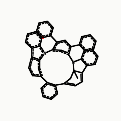 CC12CC3=CC=C1c1ccccc1N2c1cc(c(-c2ccccc2)cc1-c1ccccc1)-n1c2ccccc2c2ccc(cc21)-c1ccccc13